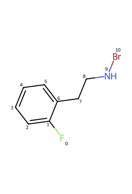 Fc1ccccc1CCNBr